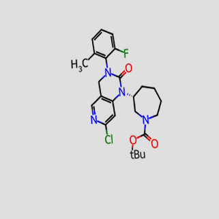 Cc1cccc(F)c1N1Cc2cnc(Cl)cc2N([C@@H]2CCCCN(C(=O)OC(C)(C)C)C2)C1=O